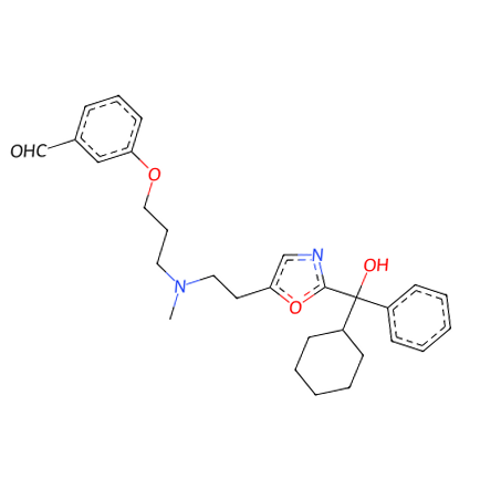 CN(CCCOc1cccc(C=O)c1)CCc1cnc(C(O)(c2ccccc2)C2CCCCC2)o1